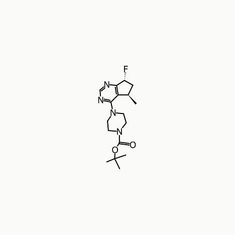 C[C@@H]1C[C@@H](F)c2ncnc(N3CCN(C(=O)OC(C)(C)C)CC3)c21